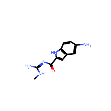 CNC(N)=NC(=O)c1cc2cc(N)ccc2[nH]1